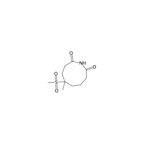 CC1(S(C)(=O)=O)CCCC(=O)NC(=O)CC1